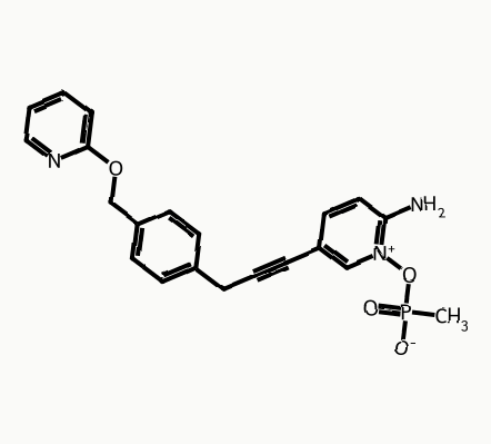 CP(=O)([O-])O[n+]1cc(C#CCc2ccc(COc3ccccn3)cc2)ccc1N